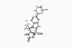 C[C@H]1C[C@@H](c2ccc3c(c2)cc(C(=O)O)n3[C@@]2(c3noc(=O)[nH]3)C[C@@H]2C)CCO1